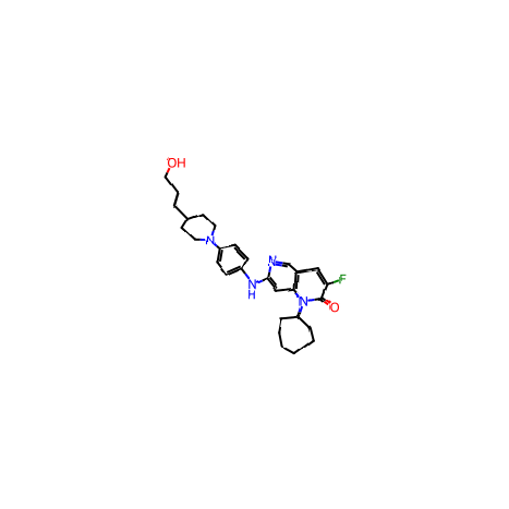 O=c1c(F)cc2cnc(Nc3ccc(N4CCC(CCCO)CC4)cc3)cc2n1C1CCCCCC1